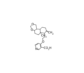 C=C1CCC2C3COCOC3CCC2(C)C1CCOc1ccncc1C(=O)O